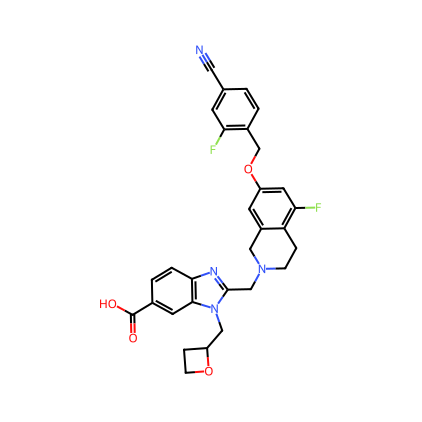 N#Cc1ccc(COc2cc(F)c3c(c2)CN(Cc2nc4ccc(C(=O)O)cc4n2CC2CCO2)CC3)c(F)c1